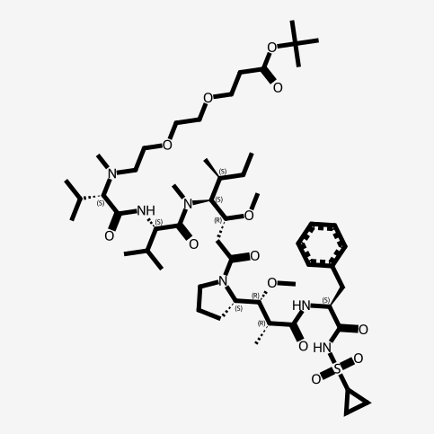 CC[C@H](C)[C@@H]([C@@H](CC(=O)N1CCC[C@H]1[C@H](OC)[C@@H](C)C(=O)N[C@@H](Cc1ccccc1)C(=O)NS(=O)(=O)C1CC1)OC)N(C)C(=O)[C@@H](NC(=O)[C@H](C(C)C)N(C)CCOCCOCCC(=O)OC(C)(C)C)C(C)C